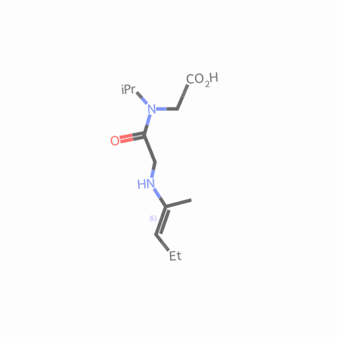 CC/C=C(\C)NCC(=O)N(CC(=O)O)C(C)C